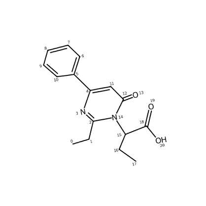 CCc1nc(-c2ccccc2)cc(=O)n1C(CC)C(=O)O